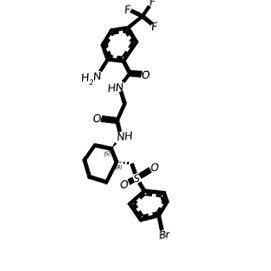 Nc1ccc(C(F)(F)F)cc1C(=O)NCC(=O)N[C@H]1CCCC[C@H]1CS(=O)(=O)c1ccc(Br)cc1